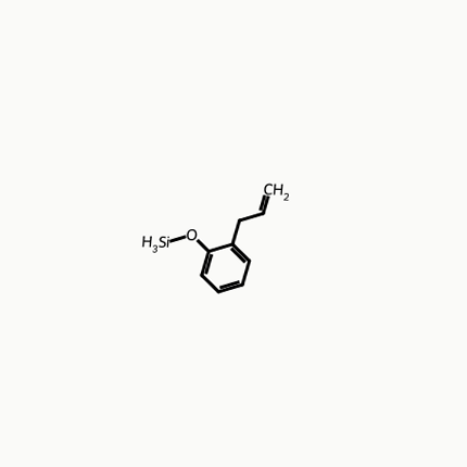 C=CCc1ccccc1O[SiH3]